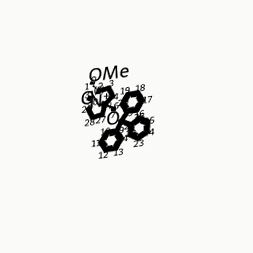 COC[C@@H]1CC[C@]2(COC(c3ccccc3)(c3ccccc3)c3ccccc3)CCC[N+]12[O-]